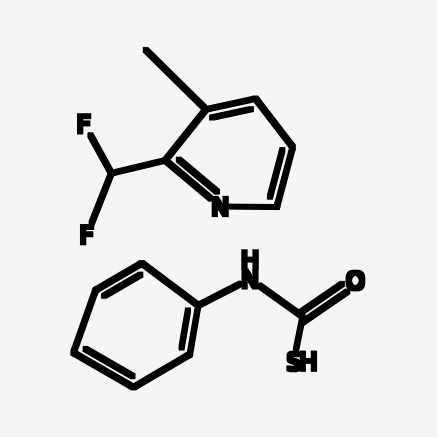 Cc1cccnc1C(F)F.O=C(S)Nc1ccccc1